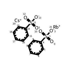 O=S(=O)([O-])c1ccccc1.O=S(=O)([O-])c1ccccc1.[Cs+].[Rb+]